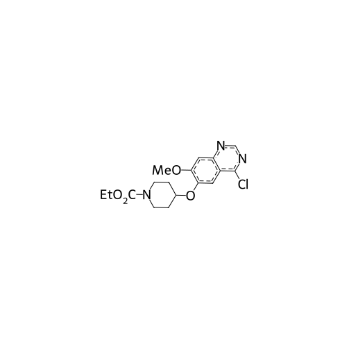 CCOC(=O)N1CCC(Oc2cc3c(Cl)ncnc3cc2OC)CC1